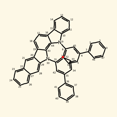 c1ccc(-c2cccc(-n3c4ccccc4c4ccc5c6cc7ccccc7cc6n(-c6cccc(-c7ccccc7)c6)c5c43)c2)cc1